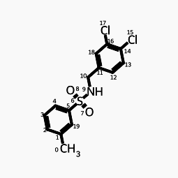 Cc1cccc(S(=O)(=O)NCc2ccc(Cl)c(Cl)c2)c1